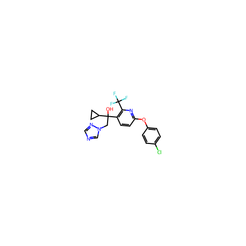 OC(Cn1cncn1)(c1ccc(Oc2ccc(Cl)cc2)nc1C(F)(F)F)C1CC1